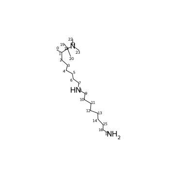 CC(CCCCCCNCCCCCCCCN)C(C)(C)N(C)C